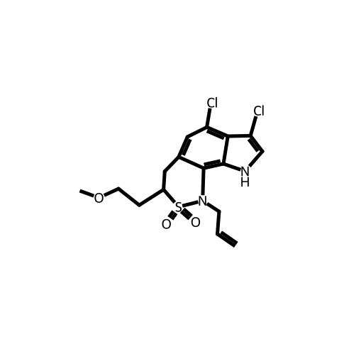 C=CCN1c2c(cc(Cl)c3c(Cl)c[nH]c23)CC(CCOC)S1(=O)=O